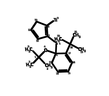 CC(C)(C)OC1(SC2=[C]([Ti])CC=C2)CC=CC=C1C(C)(C)C